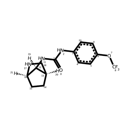 O=C(Nc1ccc(OC(F)(F)F)cc1)N[C@H]1[C@@H]2CC[C@H]1NC2